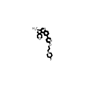 CN1CC2(CCOCC2)c2c1cnc1ccc(-c3ccc(OCCCN4CCC(F)CC4)nc3)cc21